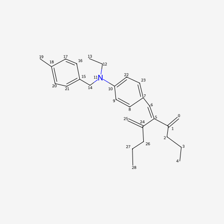 C=C(CCC)C(=Cc1ccc(N(CC)Cc2ccc(C)cc2)cc1)C(=C)CCC